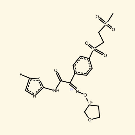 CS(=O)(=O)CCS(=O)(=O)c1ccc(/C(=N\O[C@@H]2CCOC2)C(=O)Nc2ncc(F)s2)cc1